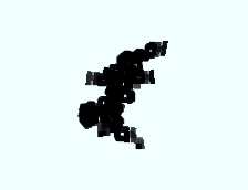 C=C(Br)C[C@H](CCC(=O)CC1O[C@H]2C(O)[C@H]3OC(CCO)CCC3O[C@H]2[C@H]1O)OC(=O)c1ccccc1